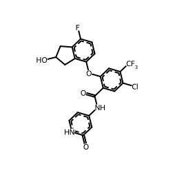 O=C(Nc1cc[nH]c(=O)c1)c1cc(Cl)c(C(F)(F)F)cc1Oc1ccc(F)c2c1CC(O)C2